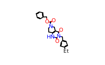 CCc1ccc(Cn2c(=O)[nH]c3c(c2=O)CN(C(=O)OCc2ccccc2)CC3)cc1